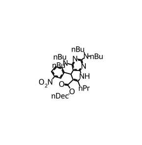 CCCCCCCCCCOC(=O)C1=C(CCC)Nc2nc(N(CCCC)CCCC)nc(N(CCCC)CCCC)c2C1c1cccc([N+](=O)[O-])c1